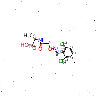 CC(NC(=O)CO/N=C/c1c(Cl)cccc1Cl)C(=O)O